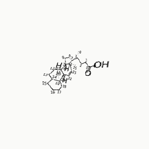 C[C@H](CCC(=O)O)[C@H]1CC[C@H]2[C@@H]3CCC4CCCC[C@]4(C)[C@H]3C=C[C@]12C